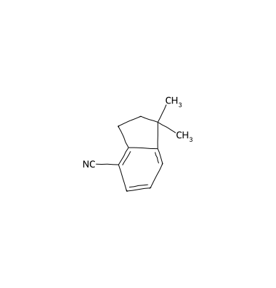 CC1(C)CCc2c(C#N)cccc21